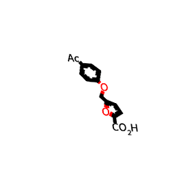 CC(=O)c1ccc(OCc2ccc(C(=O)O)o2)cc1